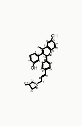 CC1=C(c2cccc(O)c2)C(c2ccc(C=CCN3CCC(C)C3)cc2)Oc2ccc(O)cc21